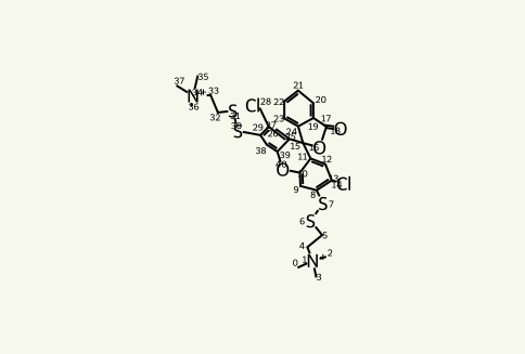 C[N+](C)(C)CCSSc1cc2c(cc1Cl)C1(OC(=O)c3ccccc31)c1cc(Cl)c(SSCC[N+](C)(C)C)cc1O2